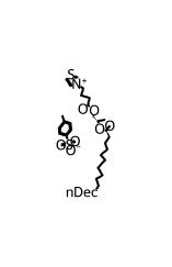 CCCCCCCCCCCCCCCCCCC[C@@H]1OC[C@@H](COC(=O)CCC[n+]2ccsc2)O1.Cc1ccc(S(=O)(=O)[O-])cc1